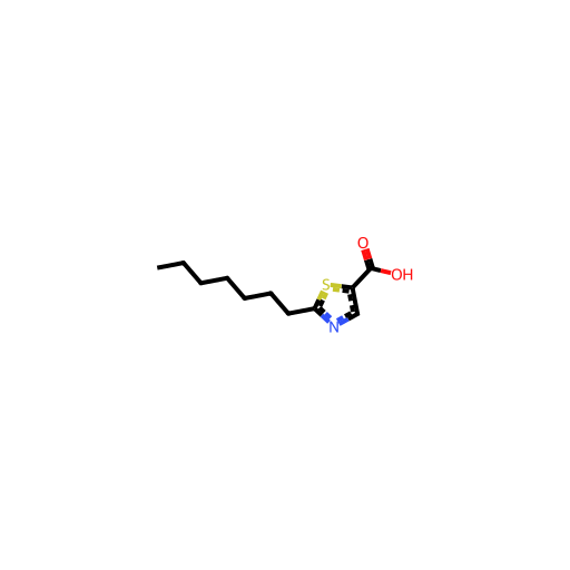 CCCCCCCc1ncc(C(=O)O)s1